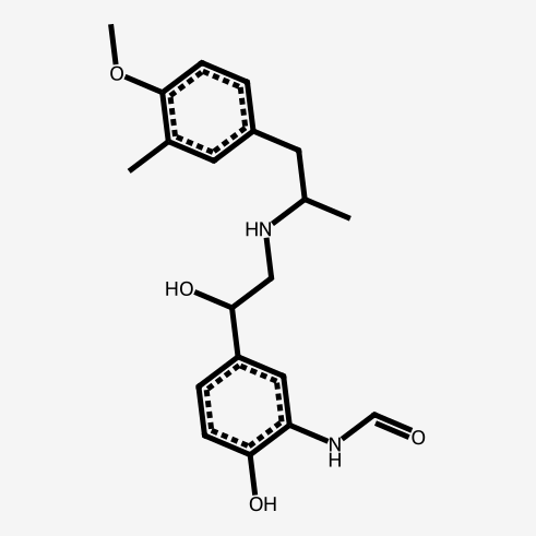 COc1ccc(CC(C)NCC(O)c2ccc(O)c(NC=O)c2)cc1C